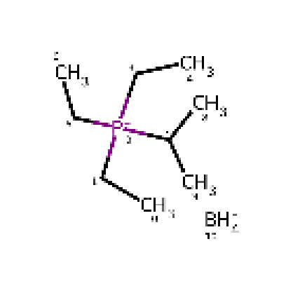 CC[P+](CC)(CC)C(C)C.[BH4-]